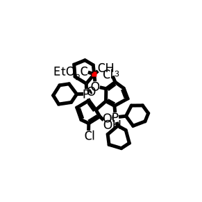 CCOC(=O)C(C)Oc1c(Cl)ccc(P(=O)(C2CCCCC2)C2CCCCC2)c1-c1c(P(=O)(C2CCCCC2)C2CCCCC2)ccc(Cl)c1O